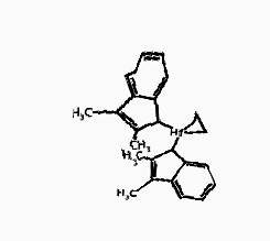 CC1=C(C)[CH]([Hf]2([CH]3C(C)=C(C)c4ccccc43)[CH2][CH2]2)c2ccccc21